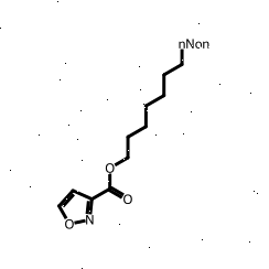 CCCCCCCCCCCCCCCCOC(=O)c1ccon1